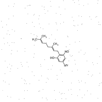 CCCc1cc(O)c(C/C=C(\C)CCC=C(C)C)c(N=O)c1